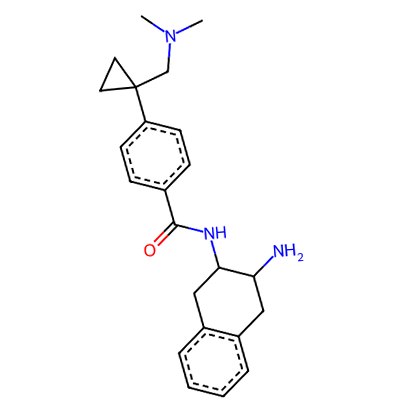 CN(C)CC1(c2ccc(C(=O)NC3Cc4ccccc4CC3N)cc2)CC1